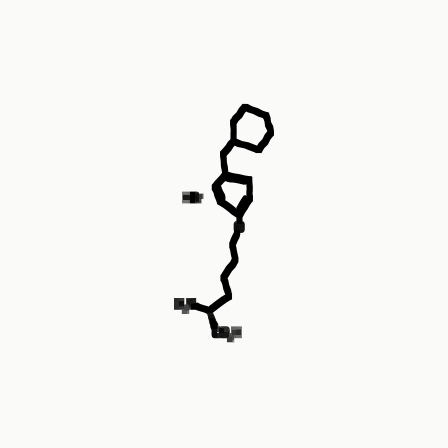 Br.N[C@@H](CCCCOc1ccc(CC2CCCCC2)cc1)C(=O)O